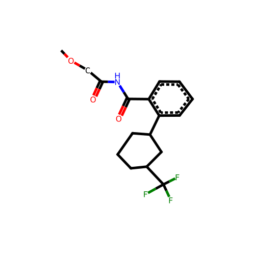 COCC(=O)NC(=O)c1ccccc1C1CCCC(C(F)(F)F)C1